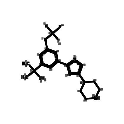 CC(C)(C)c1cc(SC(F)(F)F)cc(-c2ncc(C3CCNCC3)s2)c1